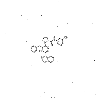 O=C[C@H](CC(=O)O)NC(=O)C1CCCN1C(=O)C(Cc1cccnc1)NC(=O)c1nccc2ccccc12